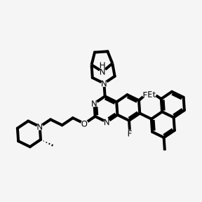 CCc1cccc2cc(C)cc(-c3c(F)cc4c(N5CC6CCC(C5)N6)nc(OCCCN5CCCC[C@H]5C)nc4c3F)c12